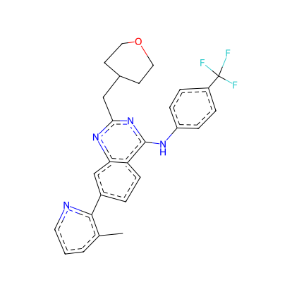 Cc1cccnc1-c1ccc2c(Nc3ccc(C(F)(F)F)cc3)nc(CC3CCOCC3)nc2c1